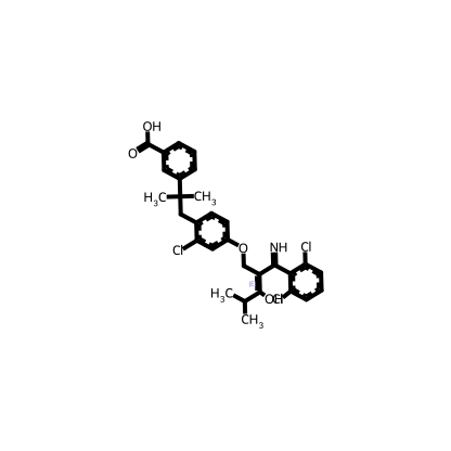 CC(C)/C(O)=C(\COc1ccc(CC(C)(C)c2cccc(C(=O)O)c2)c(Cl)c1)C(=N)c1c(Cl)cccc1Cl